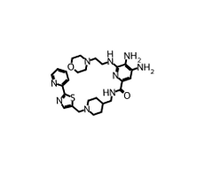 Nc1cc(C(=O)NCC2CCN(Cc3cnc(-c4ccccn4)s3)CC2)nc(NCCN2CCOCC2)c1N